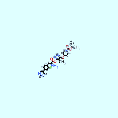 Cc1c(OC(=O)[C@@H](N)Cc2ccc(-c3cncnc3)cc2F)ncnc1OC1CCN(C(=O)OC(C)C)CC1